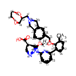 COc1c(C(=O)O)cnn1-c1cccc(-c2cccc(C)c2OCc2ccc3c(c2)CN(CC2COCCO2)C3)n1